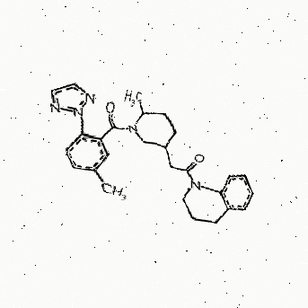 Cc1ccc(-n2nccn2)c(C(=O)N2CC(CC(=O)N3CCCc4ccccc43)CCC2C)c1